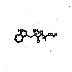 C[C@@H](NC(=O)[C@@H](N)Cc1c[nH]c2ccccc12)C(=O)O